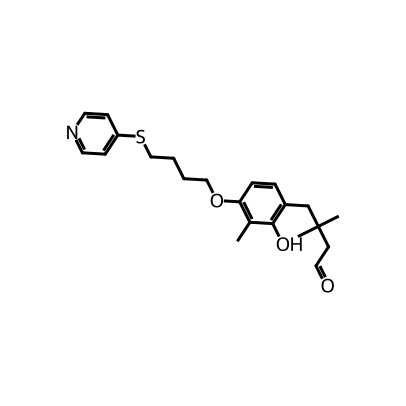 Cc1c(OCCCCSc2ccncc2)ccc(CC(C)(C)CC=O)c1O